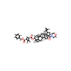 CC1(C2CC[C@]3(C(=O)N4CCOCC4)CC[C@]4(C)[C@H](CC[C@@H]5[C@@]6(C)CC[C@H](OC(=O)[C@H]7C[C@@H](C(=O)OCc8ccccc8)C7(C)C)C(C)(C)[C@@H]6CC[C@]54C)[C@@H]23)CC1